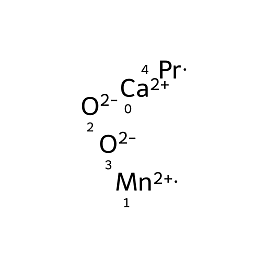 [Ca+2].[Mn+2].[O-2].[O-2].[Pr]